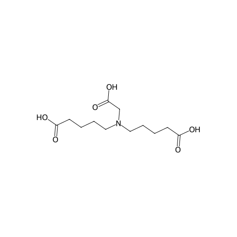 O=C(O)CCCCN(CCCCC(=O)O)CC(=O)O